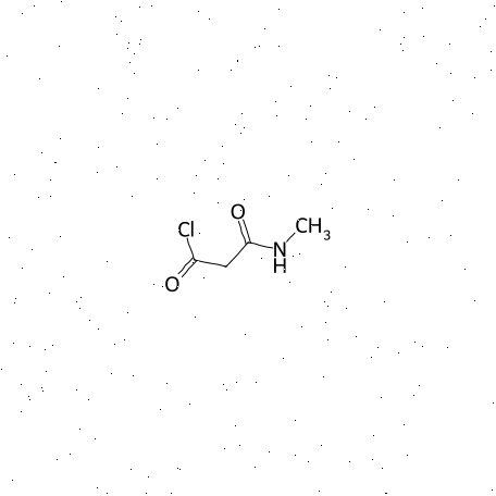 CNC(=O)CC(=O)Cl